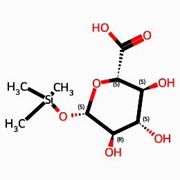 C[Si](C)(C)O[C@@H]1O[C@H](C(=O)O)[C@@H](O)[C@H](O)[C@H]1O